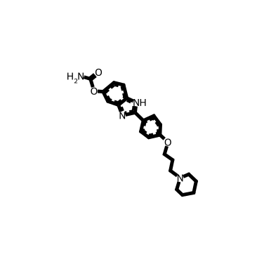 NC(=O)Oc1ccc2[nH]c(-c3ccc(OCCCN4CCCCC4)cc3)nc2c1